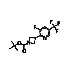 CC(C)(C)OC(=O)N1CC(c2ncc(C(F)(F)F)cc2F)C1